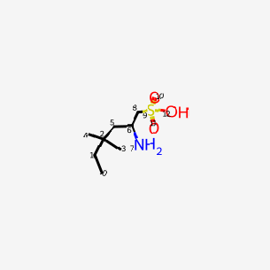 CCC(C)(C)CC(N)CS(=O)(=O)O